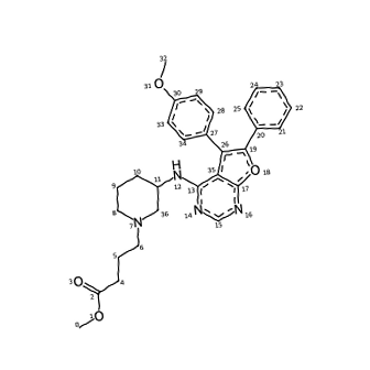 COC(=O)CCCN1CCCC(Nc2ncnc3oc(-c4ccccc4)c(-c4ccc(OC)cc4)c23)C1